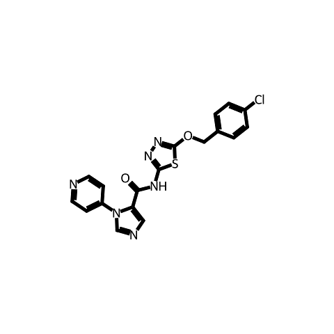 O=C(Nc1nnc(OCc2ccc(Cl)cc2)s1)c1cncn1-c1ccncc1